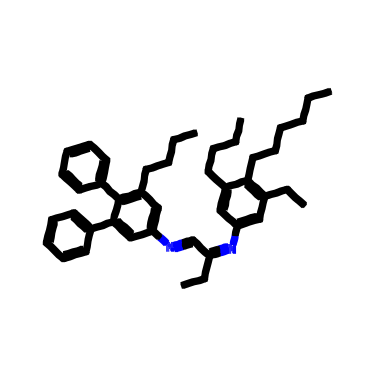 CCCCCCc1c(CC)cc(N=C(C=Nc2cc(CCCC)c(-c3ccccc3)c(-c3ccccc3)c2)CC)cc1CCCC